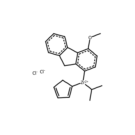 COc1cc[c]([Zr+2]([C]2=CC=CC2)[CH](C)C)c2c1-c1ccccc1C2.[Cl-].[Cl-]